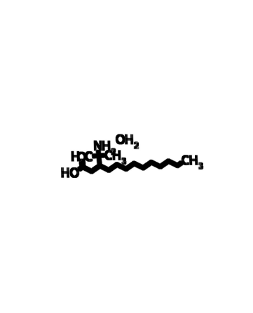 CCCCCCCCCCC(CC(=O)O)C(C)(C)N.O